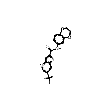 O=C(Nc1ccc2c(c1)OCCO2)c1cc2ncc(C(F)(F)F)cc2s1